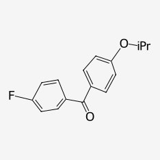 CC(C)Oc1ccc(C(=O)c2ccc(F)cc2)cc1